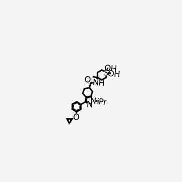 CC(C)n1nc(-c2cccc(OC3CC3)c2)c2c1CC(C(=O)NC1(C)CCS(O)(O)CC1)CC2